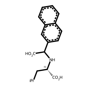 CC(C)C[C@H](NC(C(=O)O)c1ccc2ccccc2c1)C(=O)O